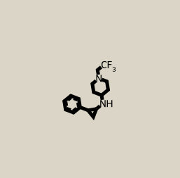 FC(F)(F)CN1CCC(NC2CC2c2ccccc2)CC1